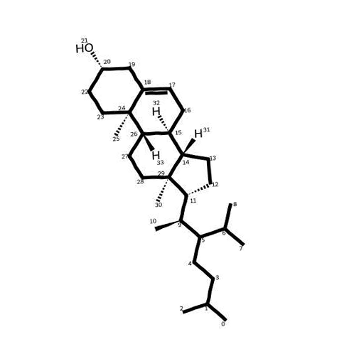 CC(C)CCC(C(C)C)[C@@H](C)[C@H]1CC[C@H]2[C@@H]3CC=C4C[C@@H](O)CC[C@]4(C)[C@H]3CC[C@]12C